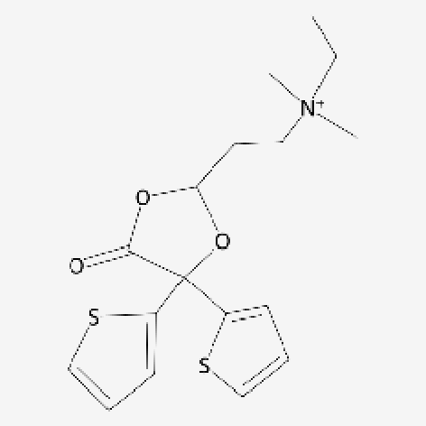 CC[N+](C)(C)CCC1OC(=O)C(c2cccs2)(c2cccs2)O1